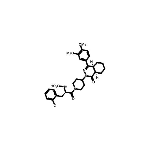 COc1ccc(C2=NN(C3CCN(C(=O)[C@@H](Cc4ccccc4Cl)NC(=O)O)CC3)C(=O)[C@@H]3CCCC[C@H]23)cc1OC